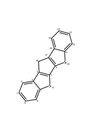 c1ccc2c3c(sc2c1)-c1sc2ccccc2c1C3